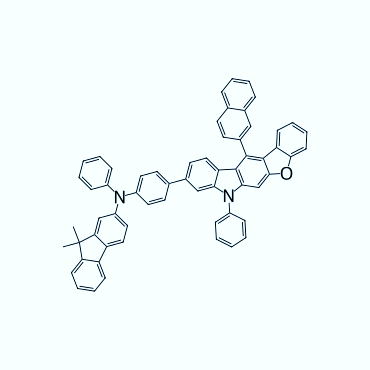 CC1(C)c2ccccc2-c2ccc(N(c3ccccc3)c3ccc(-c4ccc5c6c(-c7ccc8ccccc8c7)c7c(cc6n(-c6ccccc6)c5c4)oc4ccccc47)cc3)cc21